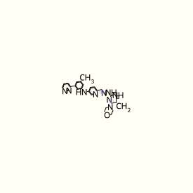 C=C(F)/C(=N\C(=N)N/N=C/c1ccc(Nc2cc(C)cc(-c3cccnn3)c2)cn1)N1CCOCC1